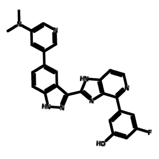 CN(C)c1cncc(-c2ccc3[nH]nc(-c4nc5c(-c6cc(O)cc(F)c6)nccc5[nH]4)c3c2)c1